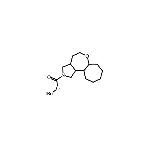 CC(C)(C)OC(=O)N1CC2CCOC3CCCCCC3C2C1